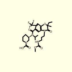 CCC1(C)Oc2cc(C(F)(F)F)c(C(=O)N(C(C)C)[C@@H]3CCCN(C(=O)O)C3)cc2N(CCCNC(=O)OC)C1=O